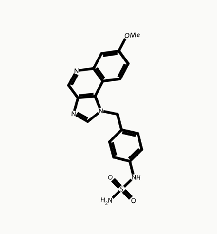 COc1ccc2c(c1)ncc1ncn(Cc3ccc(NS(N)(=O)=O)cc3)c12